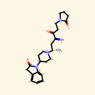 C[C@@H](CC(=N)C(=O)CCN1CCCC1=O)N1CCC(N2C(=O)Cc3ccccc32)CC1